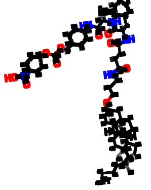 CCCC[C@H](NC(=O)C(Cc1ccccc1)NC(=O)CCC(=O)NCCCO[C@H]1CC[C@@]2(C)C(=CC[C@H]3C4CC[C@H]([C@H](C)CCCC(C)C)[C@@]4(C)CC[C@@H]32)C1)C(=O)Nc1ccc(COC(=O)Oc2ccc([N+](=O)O)cc2)cc1